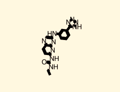 CCNC(=O)Nc1ccc2ncc(Nc3cccc(-c4nnn[nH]4)c3)nc2n1